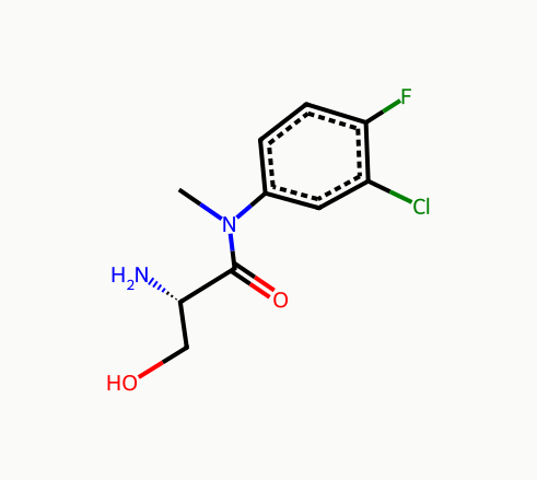 CN(C(=O)[C@@H](N)CO)c1ccc(F)c(Cl)c1